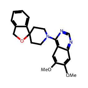 COc1cc2ncnc(N3CCC4(CC3)OCc3ccccc34)c2cc1OC